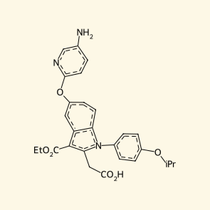 CCOC(=O)c1c(CC(=O)O)n(-c2ccc(OC(C)C)cc2)c2ccc(Oc3ccc(N)cn3)cc12